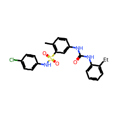 CCc1ccccc1NC(=O)Nc1ccc(C)c(S(=O)(=O)Nc2ccc(Cl)cc2)c1